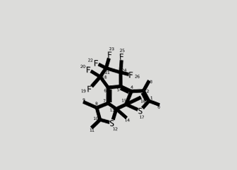 CC1=C(C)C2=C3C(=C4C(C)C(C)SC4(C)C2(C)S1)C(F)(F)C(F)(F)C3(F)F